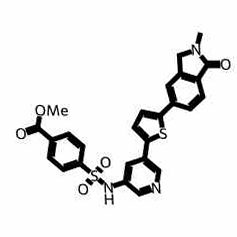 COC(=O)c1ccc(S(=O)(=O)Nc2cncc(-c3ccc(-c4ccc5c(c4)CN(C)C5=O)s3)c2)cc1